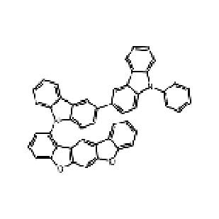 c1ccc(-n2c3ccccc3c3cc(-c4ccc5c(c4)c4ccccc4n5-c4cccc5oc6cc7oc8ccccc8c7cc6c45)ccc32)cc1